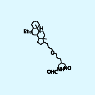 CC[C@H]1CC2C3CCC(CCCOCCCC(CN=O)CNC=O)C3(C)CC[C@@H]2C2(C)CCCCC12